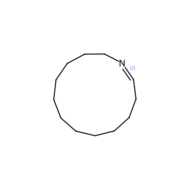 C1=N\CCCCCCCCCCC/1